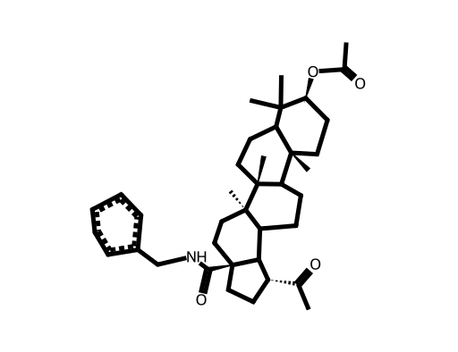 CC(=O)O[C@H]1CC[C@@]2(C)C(CC[C@]3(C)C2CCC2C4[C@H](C(C)=O)CC[C@]4(C(=O)NCc4ccccc4)CC[C@]23C)C1(C)C